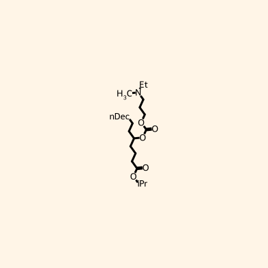 [CH2]C([CH2])OC(=O)CCCC(CCCCCCCCCCCC)OC(=O)OCCCN(C)CC